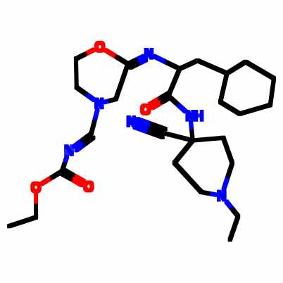 CCOC(=O)N=CN1CCOC(=NC(CC2CCCCC2)C(=O)NC2(C#N)CCN(CC)CC2)C1